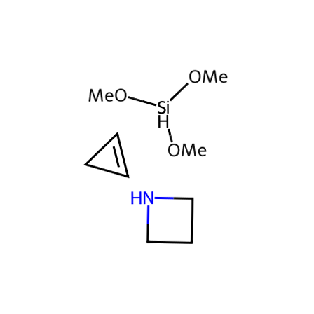 C1=CC1.C1CNC1.CO[SiH](OC)OC